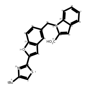 CC(C)(C)c1csc(-c2cc3cc(Cn4c(C(=O)O)cc5ccccc54)ccc3o2)n1